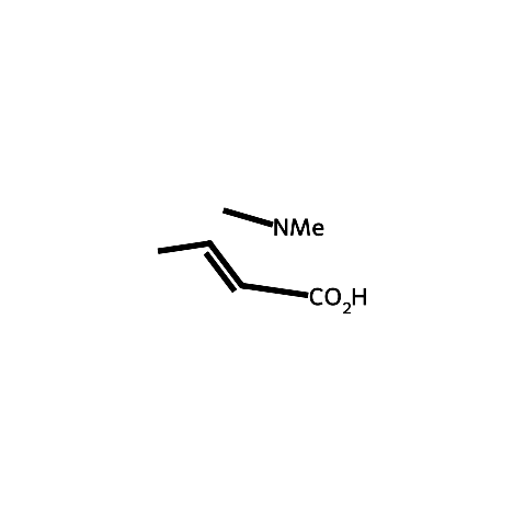 C/C=C/C(=O)O.CNC